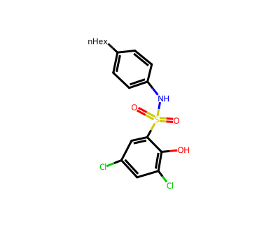 CCCCCCc1ccc(NS(=O)(=O)c2cc(Cl)cc(Cl)c2O)cc1